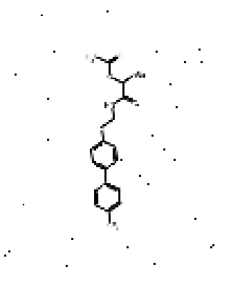 CCCCC(OC(N)=O)C(=O)NCCc1ccc(-c2ccc(C(F)(F)F)cc2)cc1